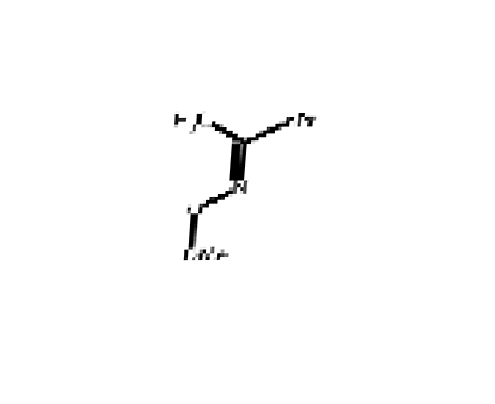 CCCC(C)=NOOC